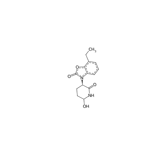 CCc1cccc2c1oc(=O)n2[C@@H]1CCC(O)NC1=O